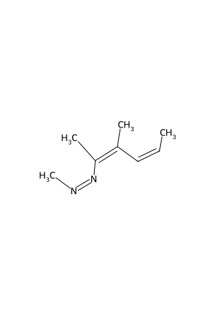 C\C=C/C(C)=C(C)\N=N/C